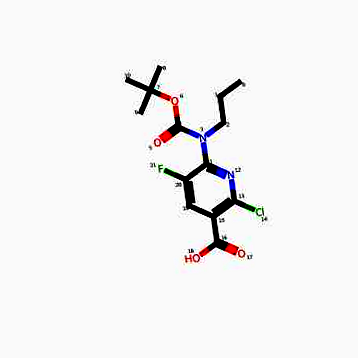 CCCN(C(=O)OC(C)(C)C)c1nc(Cl)c(C(=O)O)cc1F